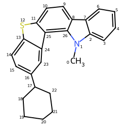 Cn1c2ccccc2c2ccc3sc4ccc(C5CCCCC5)cc4c3c21